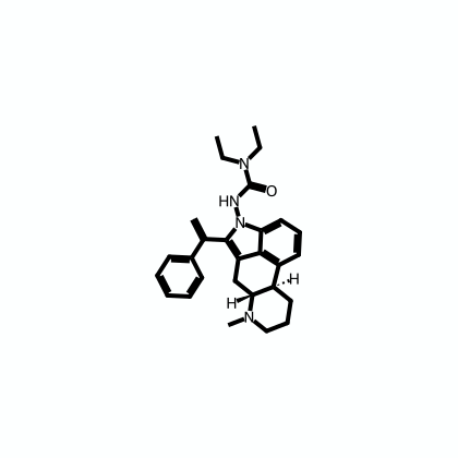 C=C(c1ccccc1)c1c2c3c(cccc3n1NC(=O)N(CC)CC)[C@H]1CCCN(C)[C@@H]1C2